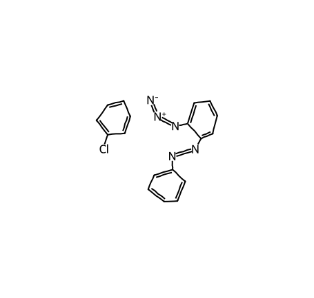 Clc1ccccc1.[N-]=[N+]=Nc1ccccc1N=Nc1ccccc1